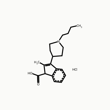 CCCCN1CCC(C2=C(C)C(C(=O)O)c3ccccc32)CC1.Cl